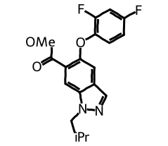 COC(=O)c1cc2c(cnn2CC(C)C)cc1Oc1ccc(F)cc1F